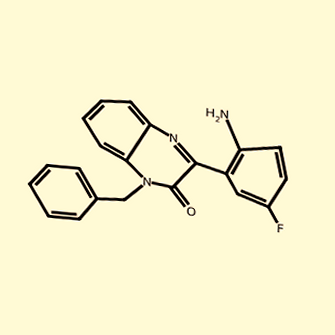 Nc1ccc(F)cc1-c1nc2ccccc2n(Cc2ccccc2)c1=O